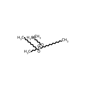 CCCCCCCCCCCCC(COC(=O)C(CCCC)CCCCCCCCCC)OC(=O)CCCCN(C)C